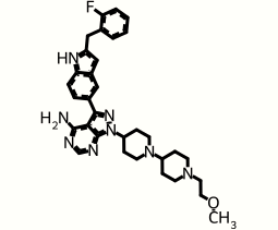 COCCN1CCC(N2CCC(n3nc(-c4ccc5[nH]c(Cc6ccccc6F)cc5c4)c4c(N)ncnc43)CC2)CC1